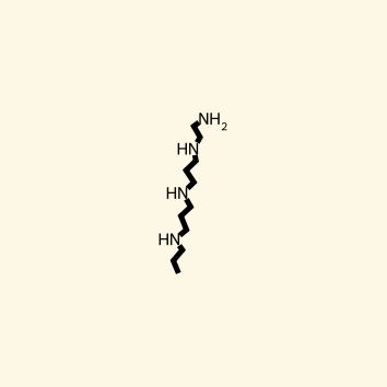 CCCNCCCNCCCNCCN